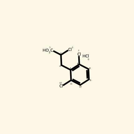 Cl.O=C(O)C(Cl)Cc1c(Cl)cccc1Cl